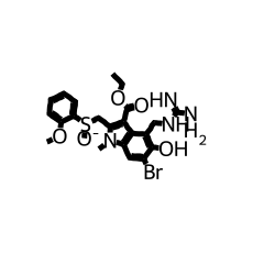 CCOC(=O)c1c(C[S+]([O-])c2ccccc2OC)n(C)c2cc(Br)c(O)c(CNC(=N)N)c12